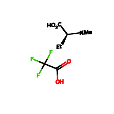 CC[C@H](NC)C(=O)O.O=C(O)C(F)(F)F